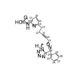 Cn1nnnc1/C(=N\OCC#CCCc1cccc(NC(=O)O)n1)c1ccccc1